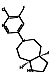 Fc1cc(N2CC[C@H]3CCN[C@H]3CC2)cnc1Cl